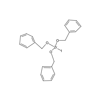 [I][Zr]([O]Cc1ccccc1)([O]Cc1ccccc1)[O]Cc1ccccc1